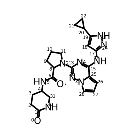 O=C1CCC(NC(=O)C2CCCN2c2nc(Nc3cc(C4CC4)[nH]n3)c3cccn3n2)CN1